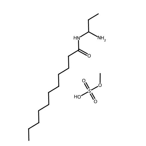 CCCCCCCCCCC(=O)NC(N)CC.COS(=O)(=O)O